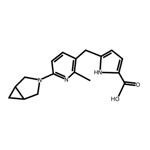 Cc1nc(N2CC3CC3C2)ccc1Cc1ccc(C(=O)O)[nH]1